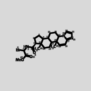 CCC(NC(=O)[C@H]1CCC2C3CCC4n5ccnc5C=C[C@]4(C)C3CC[C@@]21C)C(=O)OC